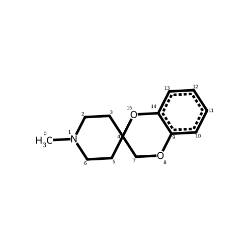 CN1CCC2(CC1)COc1ccccc1O2